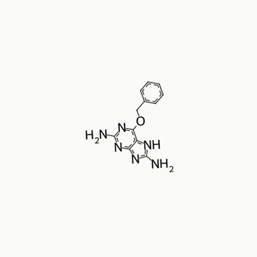 Nc1nc(OCc2ccccc2)c2[nH]c(N)nc2n1